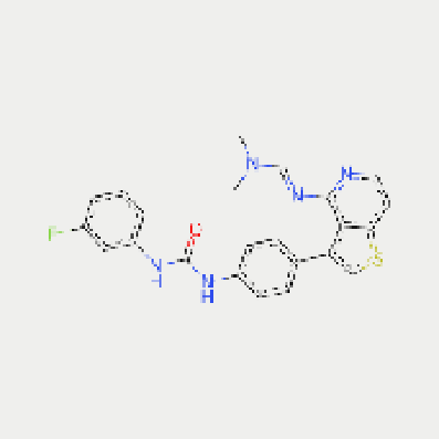 CN(C)C=Nc1nccc2scc(-c3ccc(NC(=O)Nc4cccc(F)c4)cc3)c12